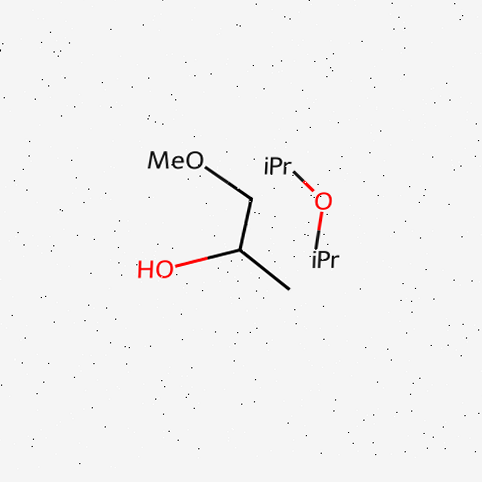 CC(C)OC(C)C.COCC(C)O